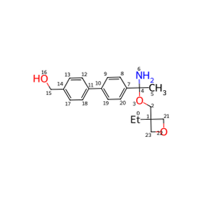 CCC1(COC(C)(N)c2ccc(-c3ccc(CO)cc3)cc2)COC1